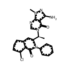 C[C@@H](c1cc2cccc(Cl)c2c(=O)n1-c1ccccc1)n1cnc2c(c(N)nn2C)c1=O